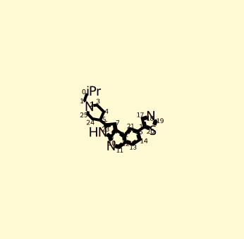 CC(C)CN1CCC(c2cc3c(ncc4ccc(-c5cncs5)cc43)[nH]2)CC1